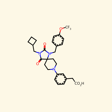 O=C(O)Cc1cccc(N2CCC3(CC2)C(=O)N(CC2CCC2)C(=O)N3Cc2ccc(OC(F)(F)F)cc2)c1